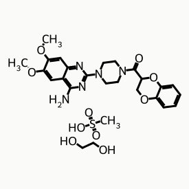 COc1cc2nc(N3CCN(C(=O)C4COc5ccccc5O4)CC3)nc(N)c2cc1OC.CS(=O)(=O)O.OCCO